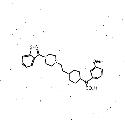 COc1cccc(N(C(=O)O)C2CCC(CCN3CCN(c4nsc5ccccc45)CC3)CC2)c1